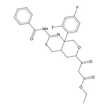 CCOC(=O)CC(=O)C1CC2CSC(NC(=O)c3ccccc3)=NC2(c2ccc(F)cc2F)CO1